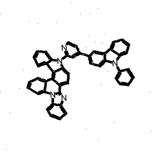 c1ccc(-n2c3ccccc3c3cc(-c4ccnc(-n5c6ccccc6c6c7c8ccccc8n8c9ccccc9nc8c7ccc65)c4)ccc32)cc1